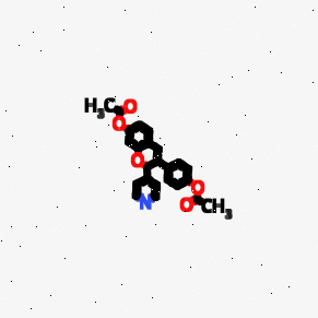 CC(=O)Oc1ccc(C2=Cc3ccc(OC(C)=O)cc3OC2c2ccncc2)cc1